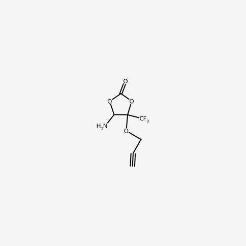 C#CCOC1(C(F)(F)F)OC(=O)OC1N